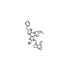 CCN1C(=O)c2c(nc(Br)n2CC2=C3C(Cl)=COC=C3CC2)N2C[C@@H](Cc3ccccc3)N=C12